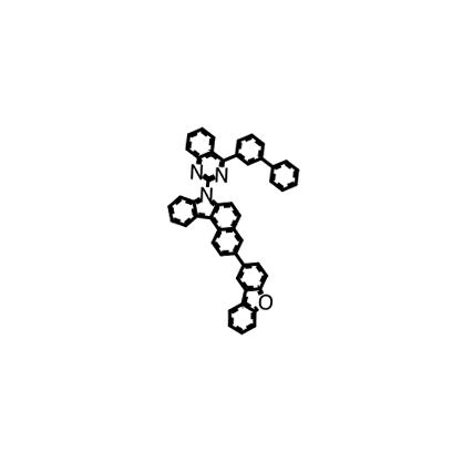 c1ccc(-c2cccc(-c3nc(-n4c5ccccc5c5c6ccc(-c7ccc8oc9ccccc9c8c7)cc6ccc54)nc4ccccc34)c2)cc1